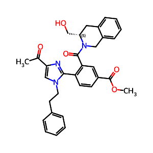 COC(=O)c1ccc(-c2nc(C(C)=O)cn2CCc2ccccc2)c(C(=O)N2Cc3ccccc3C[C@H]2CO)c1